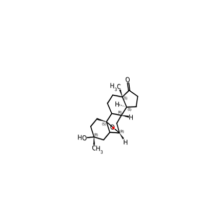 C[C@@]1(O)CC[C@]23CO[C@H](C[C@@H]4C2CC[C@]2(C)C(=O)CC[C@@H]42)C3C1